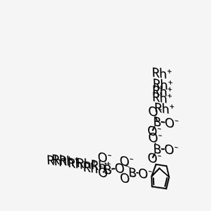 C1=C2CCC(=C1)C2.[O-]B([O-])[O-].[O-]B([O-])[O-].[O-]B([O-])[O-].[O-]B([O-])[O-].[Rh+].[Rh+].[Rh+].[Rh+].[Rh+].[Rh+].[Rh+].[Rh+].[Rh+].[Rh+].[Rh+].[Rh+]